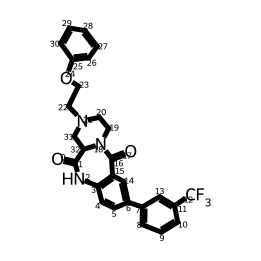 O=C1Nc2ccc(-c3cccc(C(F)(F)F)c3)cc2C(=O)N2CCN(CCOc3ccccc3)CC12